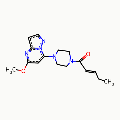 CCC=CC(=O)N1CCN(c2cc(OC)nc3ccnn23)CC1